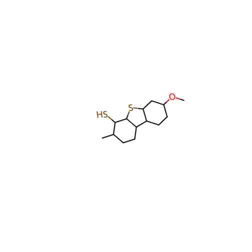 COC1CCC2C(C1)SC1C(S)C(C)CCC21